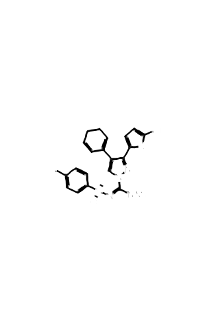 CNC(=NS(=O)(=O)c1ccc(Cl)cc1)n1cc(C2=CCCC=C2)c(-c2ccc(Cl)s2)n1